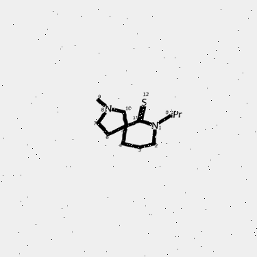 CC(C)N1CCCC2(CCN(C)C2)C1=S